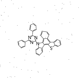 c1ccc(-c2nc(-c3ccccc3)nc(-n3c4ccccc4c4c5sc6ccccc6c5c5ccccc5c43)n2)cc1